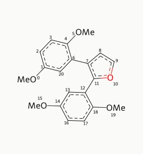 COc1ccc(OC)c(-c2ccoc2-c2cc(OC)ccc2OC)c1